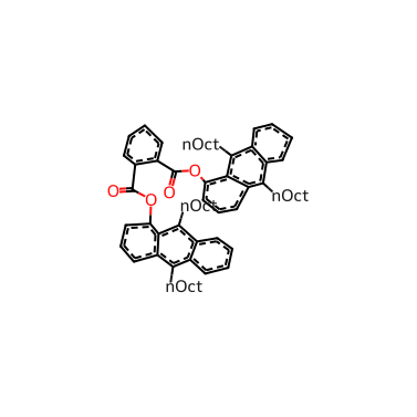 CCCCCCCCc1c2ccccc2c(CCCCCCCC)c2c(OC(=O)c3ccccc3C(=O)Oc3cccc4c(CCCCCCCC)c5ccccc5c(CCCCCCCC)c34)cccc12